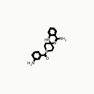 NC1=NC2(CCN(C(=O)c3cccc(N)c3)CC2)Nc2ccccc21